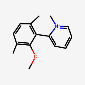 COc1c(C)ccc(C)c1-c1cccc[n+]1C